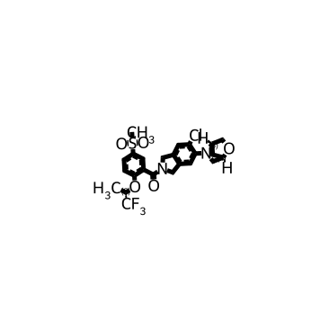 C[C@H](Oc1ccc(S(C)(=O)=O)cc1C(=O)N1Cc2cc(Cl)c(N3C[C@H]4C[C@H]3CO4)cc2C1)C(F)(F)F